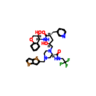 O=C(N[C@H]1c2ccccc2OC[C@H]1O)[C@H](Cc1cccnc1)C[C@H](O)CN1CCN(Cc2cc3sccc3s2)C[C@H]1C(=O)NCC(F)(F)F